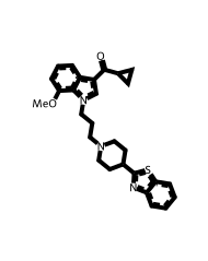 COc1cccc2c(C(=O)C3CC3)cn(CCCN3CCC(c4nc5ccccc5s4)CC3)c12